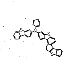 c1ccc(N(c2ccc3c(c2)sc2ccccc23)c2ccc3c(c2)sc2ccc4c(ccc5sc6ccccc6c54)c23)cc1